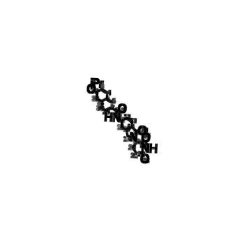 CC(C)Oc1ccc2cc(C(=O)Nc3ccc4c(c3)CN(C3CCC(=O)NC3=O)C4=O)ccc2c1